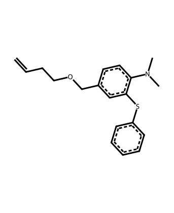 C=CCCOCc1ccc(N(C)C)c(Sc2ccccc2)c1